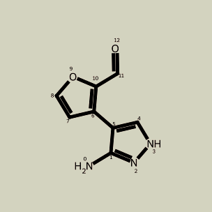 Nc1n[nH]cc1-c1ccoc1C=O